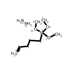 C=CCCC[Si](OC)(OC)OC.N.N